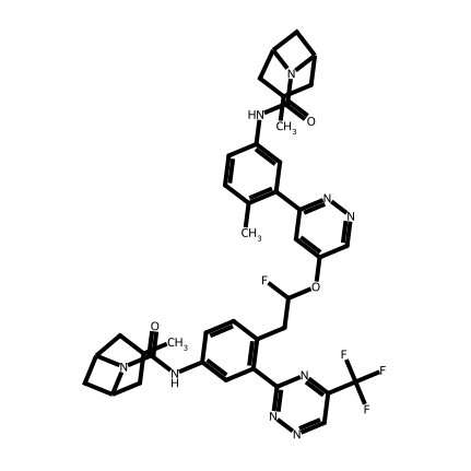 Cc1ccc(NC(=O)N2C3CC(C)CC2C3)cc1-c1cc(OC(F)Cc2ccc(NC(=O)N3C4CC(C)CC3C4)cc2-c2nncc(C(F)(F)F)n2)cnn1